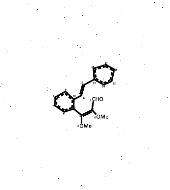 COC(C=O)=C(OC)c1ccccc1C=Cc1ccccc1